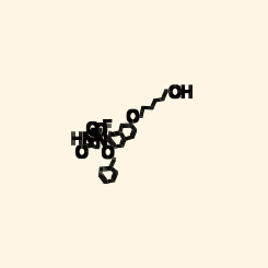 O=C1CN(c2c(OCc3ccccc3)cc3ccc(OCCCCCCO)cc3c2F)S(=O)(=O)N1